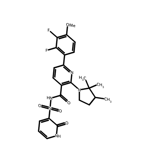 COc1ccc(-c2ccc(C(=O)NS(=O)(=O)c3ccc[nH]c3=O)c(N3CCC(C)C3(C)C)n2)c(F)c1F